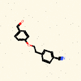 N#Cc1ccc(CCOc2ccc(C=O)cc2)cc1